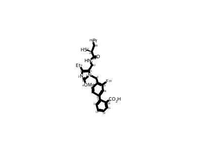 CCc1nc(OC)n(Cc2ccc(-c3ccccc3C(=O)O)cc2F)c1CNC(=O)[C@@H](S)CC(C)C